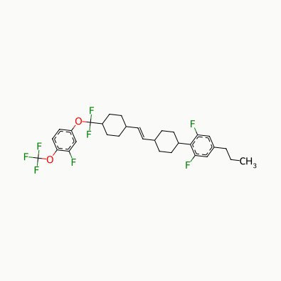 CCCc1cc(F)c(C2CCC(/C=C/C3CCC(C(F)(F)Oc4ccc(OC(F)(F)F)c(F)c4)CC3)CC2)c(F)c1